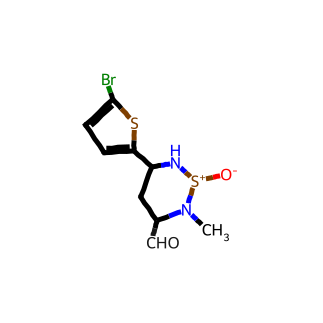 CN1C(C=O)CC(c2ccc(Br)s2)N[S+]1[O-]